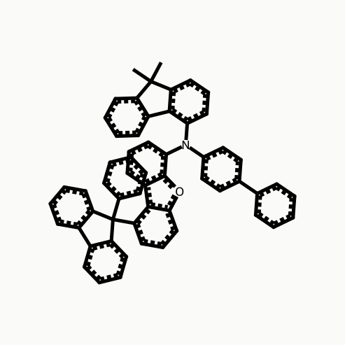 CC1(C)c2ccccc2-c2c(N(c3ccc(-c4ccccc4)cc3)c3cccc4c3oc3cccc(C5(c6ccccc6)c6ccccc6-c6ccccc65)c34)cccc21